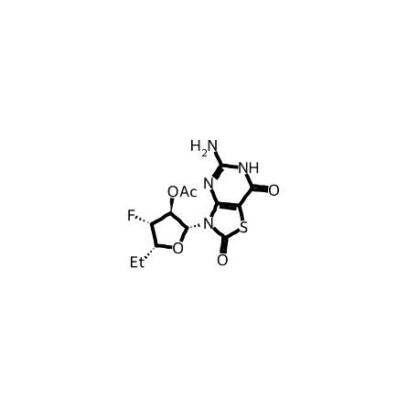 CC[C@H]1O[C@@H](n2c(=O)sc3c(=O)[nH]c(N)nc32)[C@H](OC(C)=O)[C@H]1F